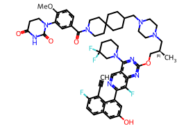 C#Cc1c(F)ccc2cc(O)cc(-c3ncc4c(N5CCCC(F)(F)C5)nc(OC[C@H](C)CN5CCN(CC6CCC7(CC6)CCN(C(=O)c6ccc(OC)c(N8CCC(=O)NC8=O)c6)CC7)CC5)nc4c3F)c12